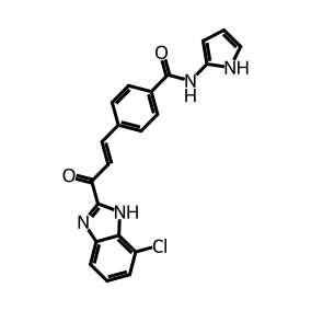 O=C(Nc1ccc[nH]1)c1ccc(C=CC(=O)c2nc3cccc(Cl)c3[nH]2)cc1